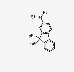 CCCC1(CCC)c2ccccc2-c2ccc(N(CC)CC)cc21